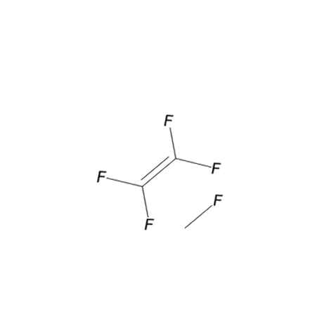 CF.FC(F)=C(F)F